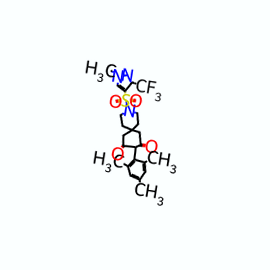 Cc1cc(C)c(C2C(=O)CC3(CCN(S(=O)(=O)c4cn(C)nc4C(F)(F)F)CC3)CC2=O)c(C)c1